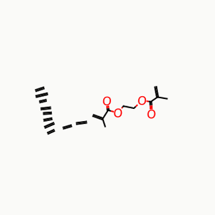 C=C.C=C.C=C.C=C.C=C.C=C.C=C.C=C.C=C.C=C.C=C(C)C(=O)OCCOC(=O)C(=C)C